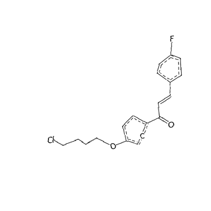 O=C(C=Cc1ccc(F)cc1)c1ccc(OCCCCCl)cc1